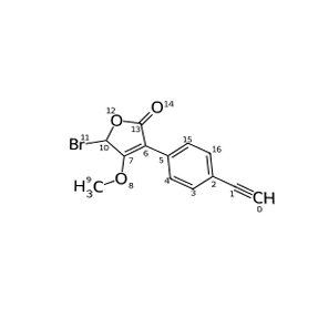 C#Cc1ccc(C2=C(OC)C(Br)OC2=O)cc1